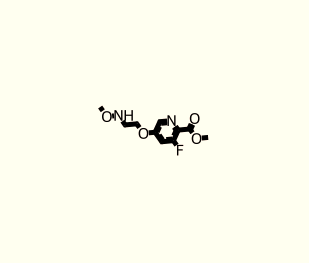 CONCCOc1cnc(C(=O)OC)c(F)c1